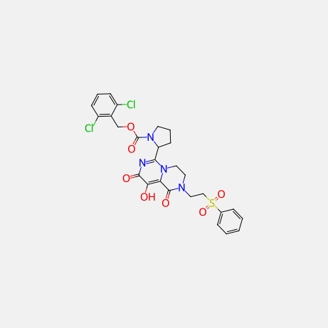 O=C1c2c(O)c(=O)nc(C3CCCN3C(=O)OCc3c(Cl)cccc3Cl)n2CCN1CCS(=O)(=O)c1ccccc1